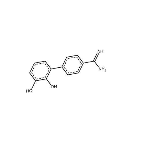 N=C(N)c1ccc(-c2cccc(O)c2O)cc1